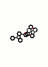 C1=CC2c3cccc(-c4ccc(-c5cccc6c5c5ccccc5n6-c5ccccc5)cc4)c3C3(c4ccccc4Sc4ccccc43)C2C=C1